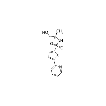 C[C@H](CO)NS(=O)(=O)c1ccc(-c2ccccn2)s1